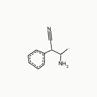 [CH2]C(N)C(C#N)c1ccccc1